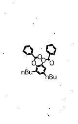 CCCCc1cc(CCCC)c(OC(=O)c2ccccc2)c(OC(=O)c2ccccc2)c1